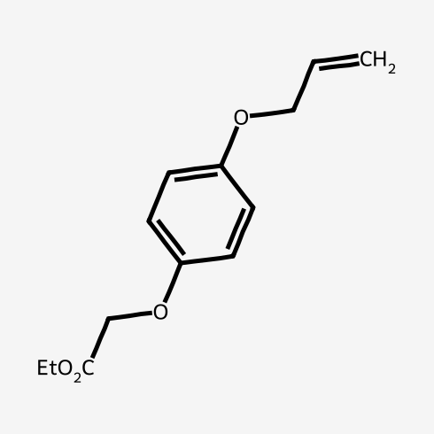 C=CCOc1ccc(OCC(=O)OCC)cc1